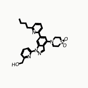 CCCCc1cccc(-c2cc(N3CCS(=O)(=O)CC3)c3cnn(-c4cccc(CO)n4)c3c2)n1